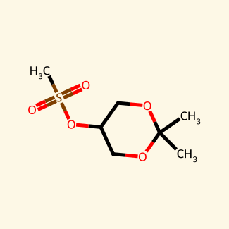 CC1(C)OCC(OS(C)(=O)=O)CO1